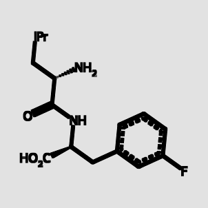 CC(C)C[C@H](N)C(=O)N[C@@H](Cc1cccc(F)c1)C(=O)O